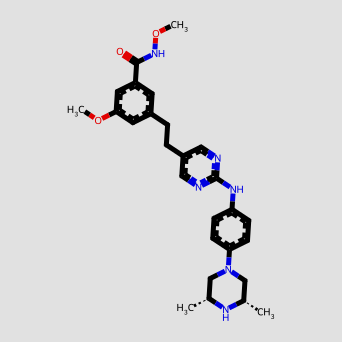 CONC(=O)c1cc(CCc2cnc(Nc3ccc(N4C[C@@H](C)N[C@@H](C)C4)cc3)nc2)cc(OC)c1